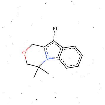 CCc1c2n(c3ccccc13)C(C)(C)COC2